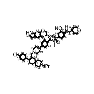 CC(C)N1CCC2(CCC(c3ccc(Cl)cc3)=C(CN3CCN(c4ccc(C(=O)NS(=O)(=O)c5ccc(NCC6(F)CCOCC6)c([N+](=O)[O-])c5)c(N5CCOc6nc7[nH]ccc7cc65)c4)CC3)C2)CC1